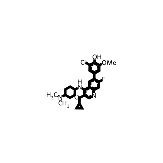 COc1cc(-c2cc3c(NC4CCC(N(C)C)CC4)c(C(=O)C4CC4)cnc3cc2F)cc(Cl)c1O